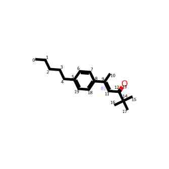 CCCCCc1ccc(/C(C)=C/C(=O)C(C)(C)C)cc1